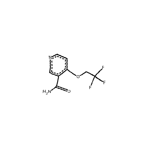 NC(=O)c1cnccc1OCC(F)(F)F